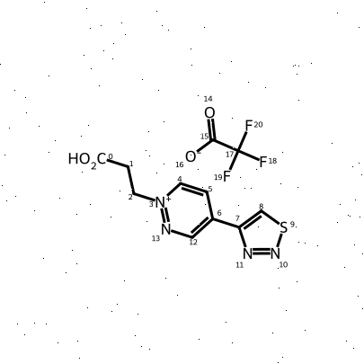 O=C(O)CC[n+]1ccc(-c2csnn2)cn1.O=C([O-])C(F)(F)F